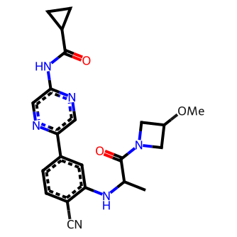 COC1CN(C(=O)C(C)Nc2cc(-c3cnc(NC(=O)C4CC4)cn3)ccc2C#N)C1